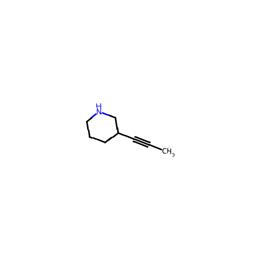 CC#CC1CCCNC1